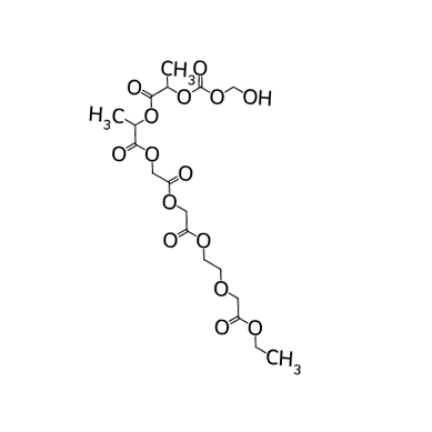 CCOC(=O)COCCOC(=O)COC(=O)COC(=O)C(C)OC(=O)C(C)OC(=O)OCO